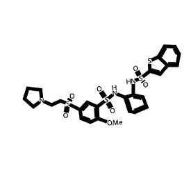 COc1ccc(S(=O)(=O)CCN2CCCC2)cc1S(=O)(=O)Nc1ccccc1NS(=O)(=O)c1cc2ccccc2s1